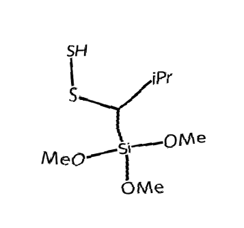 CO[Si](OC)(OC)C(SS)C(C)C